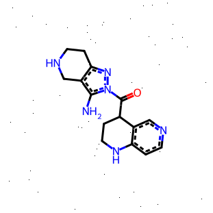 Nc1c2c(nn1C(=O)C1CCNc3ccncc31)CCNC2